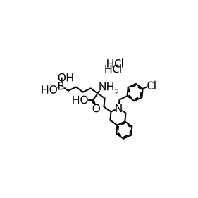 Cl.Cl.NC(CCCCB(O)O)(CCC1Cc2ccccc2CN1Cc1ccc(Cl)cc1)C(=O)O